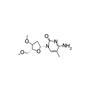 COC[C@H]1O[C@@H](n2cc(C)c(N)nc2=O)CC1OC